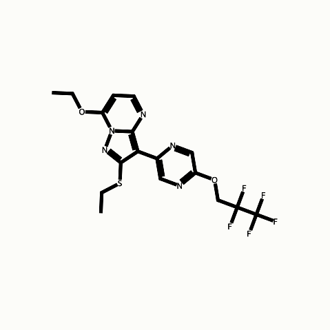 CCOc1ccnc2c(-c3cnc(OCC(F)(F)C(F)(F)F)cn3)c(SCC)nn12